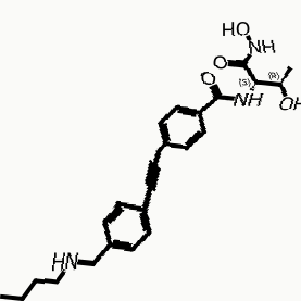 CCCCNCc1ccc(C#Cc2ccc(C(=O)N[C@H](C(=O)NO)[C@@H](C)O)cc2)cc1